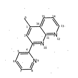 Cc1cc(-c2ccccn2)nc2ncccc12